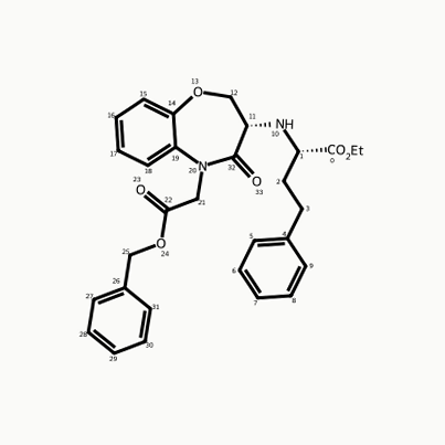 CCOC(=O)[C@H](CCc1ccccc1)N[C@H]1COc2ccccc2N(CC(=O)OCc2ccccc2)C1=O